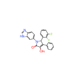 O=C1C(O)=C(c2ccccc2)C(c2cccc(F)c2F)N1c1ccc2nc[nH]c2c1